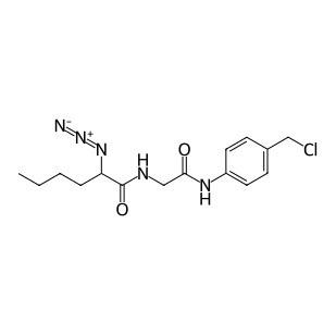 CCCCC(N=[N+]=[N-])C(=O)NCC(=O)Nc1ccc(CCl)cc1